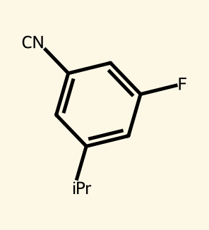 [C-]#[N+]c1cc(F)cc(C(C)C)c1